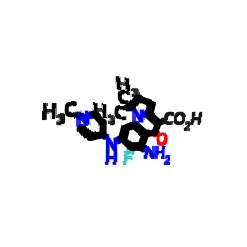 CN1CCC(Nc2cc3c(c(N)c2F)c(=O)c(C(=O)O)c2n3C(C)(C)CC2)CC1